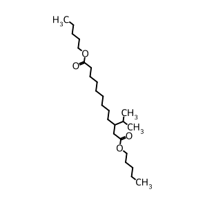 CCCCCOC(=O)CCCCCCCCC(CC(=O)OCCCCC)C(C)C